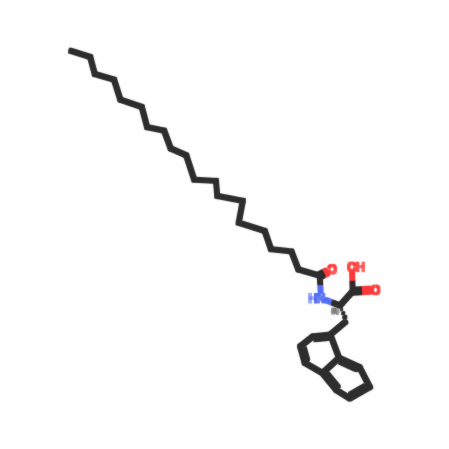 CCCCCCCCCCCCCCCCCCCC(=O)N[C@@H](Cc1cccc2ccccc12)C(=O)O